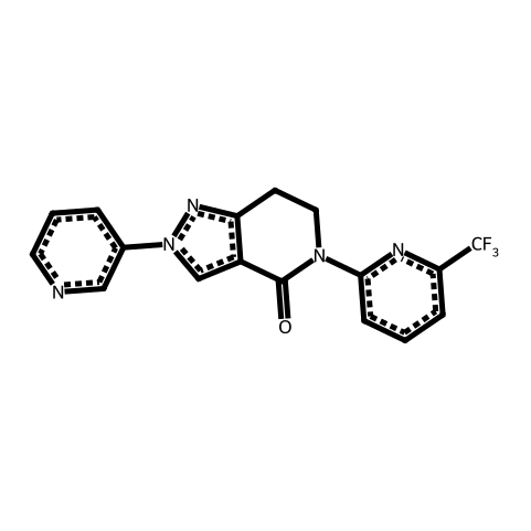 O=C1c2cn(-c3cccnc3)nc2CCN1c1cccc(C(F)(F)F)n1